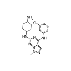 Cn1nnc2c(Nc3cccc(Cl)c3)nc(NC3CCC(N)CC3)nc21